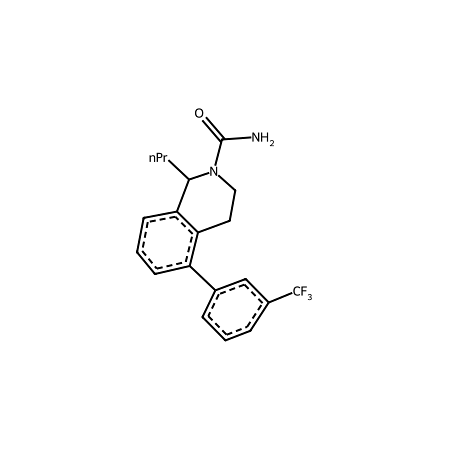 CCCC1c2cccc(-c3cccc(C(F)(F)F)c3)c2CCN1C(N)=O